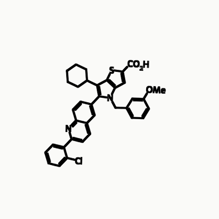 COc1cccc(Cn2c(-c3ccc4nc(-c5ccccc5Cl)ccc4c3)c(C3CCCCC3)c3sc(C(=O)O)cc32)c1